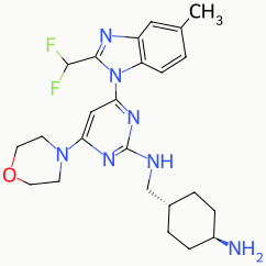 Cc1ccc2c(c1)nc(C(F)F)n2-c1cc(N2CCOCC2)nc(NC[C@H]2CC[C@H](N)CC2)n1